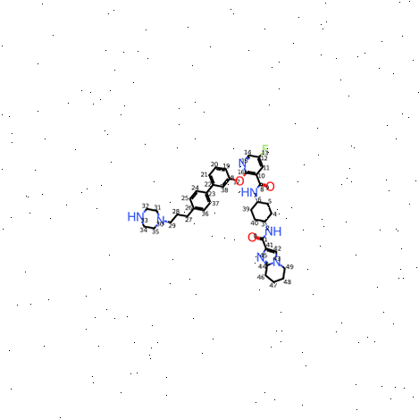 O=C(N[C@H]1CC[C@@H](NC(=O)c2cc(F)cnc2Oc2cccc(-c3ccc(CCCN4CCNCC4)cc3)c2)CC1)c1cn2c(n1)CCCC2